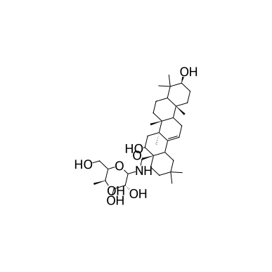 C[C@H](O)C(CO)OC(NC(=O)[C@]12CCC(C)(C)CC1C1=CCC3[C@@]4(C)CC[C@H](O)C(C)(C)C4CC[C@@]3(C)[C@]1(C)C[C@H]2O)[C@H](O)CO